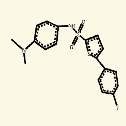 CN(C)c1ccc(NS(=O)(=O)c2ccc(-c3ccc(F)cc3)s2)cc1